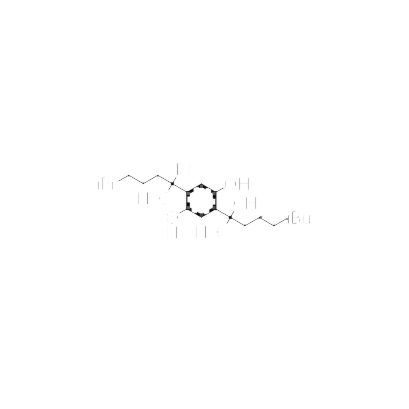 CCC(C)CCCC(C)(C)c1cc(O)c(C(C)(CC)CCCC(C)C)cc1O